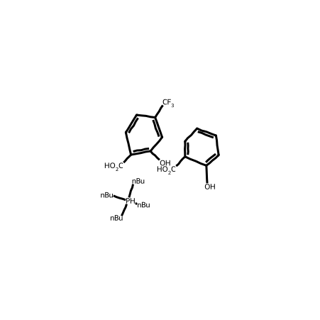 CCCC[PH](CCCC)(CCCC)CCCC.O=C(O)c1ccc(C(F)(F)F)cc1O.O=C(O)c1ccccc1O